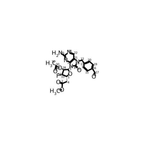 COC(=O)C[C@H]1O[C@@H](n2c(=O)n(Cc3ccc(C=O)cc3)c3cnc(N)nc32)[C@H](OC(C)=O)[C@@H]1F